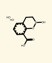 Cl.Cl.O=C(O)c1cccc2c1OB(O)CC2